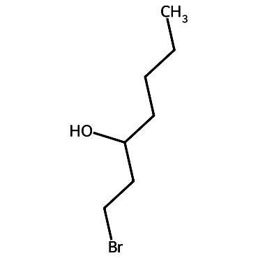 CCCCC(O)CCBr